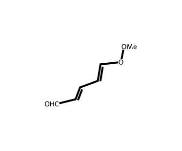 COOC=CC=CC=O